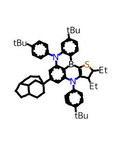 CCC1SC2=C(C1CC)N(c1c#cc(C(C)(C)C)cc1)c1cc(C34CCC5CCC(CC3)C5C4)cc3c1B2c1ccc(C(C)(C)C)cc1N3c1ccc(C(C)(C)C)cc1